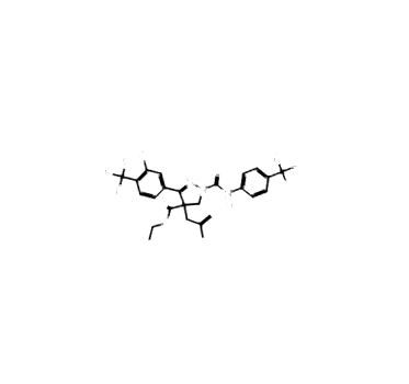 C=C(C)CC1(C(=O)OCC)CN(C(=O)Nc2ccc(C(F)(F)F)cc2)N=C1c1ccc(C(F)(F)F)c(Cl)c1